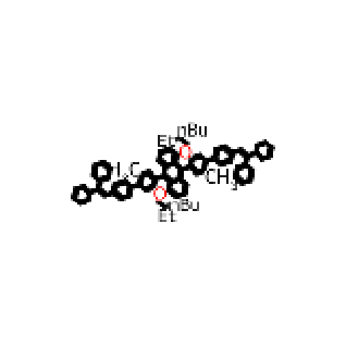 CCCCC(CC)COc1cc(-c2ccc(C=C(c3ccccc3)c3ccccc3)cc2)c(C)cc1-c1c2ccccc2c(-c2cc(C)c(-c3ccc(C=C(c4ccccc4)c4ccccc4)cc3)cc2OCC(CC)CCCC)c2ccccc12